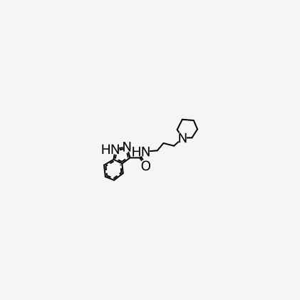 O=C(NCCCN1CCCCC1)c1n[nH]c2ccccc12